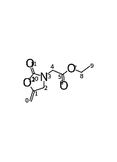 C=C1CN(CC(=O)OCC)C(=O)O1